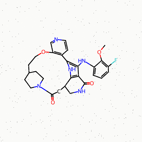 COc1c(F)cccc1Nc1c2[nH]c3c1C(=O)NCC3CC(=O)N1CCC(CCOc3cnccc3-2)CC1